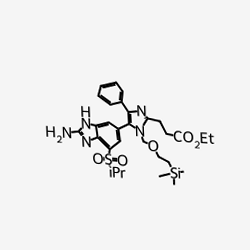 CCOC(=O)CCc1nc(-c2ccccc2)c(-c2cc(S(=O)(=O)C(C)C)c3nc(N)[nH]c3c2)n1COCC[Si](C)(C)C